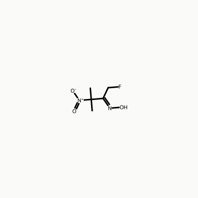 CC(C)(C(CF)=NO)[N+](=O)[O-]